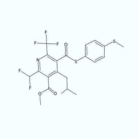 COC(=O)c1c(C(F)F)nc(C(F)(F)F)c(C(=O)Sc2ccc(SC)cc2)c1CC(C)C